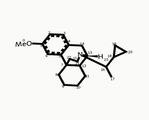 COc1ccc2c(c1)C13CCCCC1[C@@H](C2)N(C(C)C1CC1)CC3